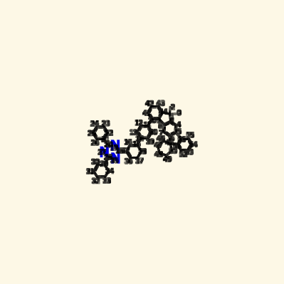 CC1(C)c2cc3c(cc2-c2c(-c4ccc(C5=CC(c6nc(-c7ccccc7)nc(C7C=CC=CC7)n6)=CCC5)cc4)cccc21)C1(CCCCC1)c1ccccc1-3